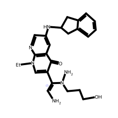 CCn1cc(/C(=C/N)N(N)CCCO)c(=O)c2cc(NC3Cc4ccccc4C3)cnc21